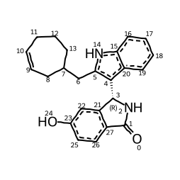 O=C1N[C@@H](c2c(CC3CC=CCCC3)[nH]c3ccccc23)c2cc(O)ccc21